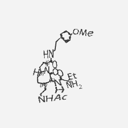 CC[C@H](N)C(=O)N[C@@H]1C(=O)N2[C@@H](CC[C@@H]1CCNC(C)=O)CC[C@H]2C(=O)NCCc1ccc(OC)cc1